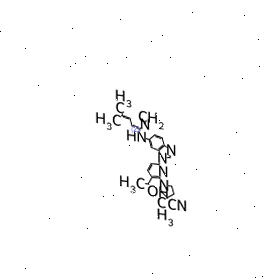 C=N/C(=C\C=C(C)C)Nc1ccc2ncn(-c3ccc(C(C)O)c(N4CCC(C)(C#N)C4)n3)c2c1